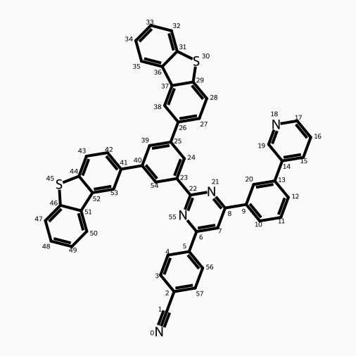 N#Cc1ccc(-c2cc(-c3cccc(-c4cccnc4)c3)nc(-c3cc(-c4ccc5sc6ccccc6c5c4)cc(-c4ccc5sc6ccccc6c5c4)c3)n2)cc1